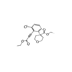 CCOC(=O)C#Cc1c(Cl)cccc1C1(C(=O)OCC)CCOCC1